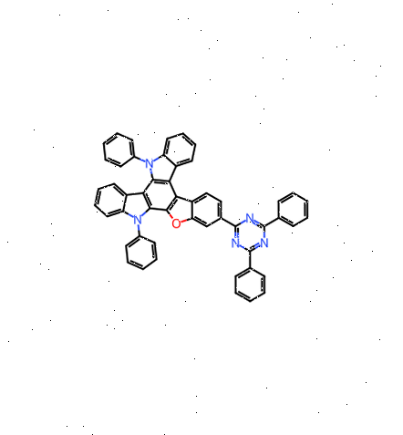 c1ccc(-c2nc(-c3ccccc3)nc(-c3ccc4c(c3)oc3c4c4c5ccccc5n(-c5ccccc5)c4c4c5ccccc5n(-c5ccccc5)c34)n2)cc1